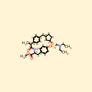 CCN(CC)CSOc1ccc(CC(NC(=O)C(C)c2ccc(CC3CCC(=O)C3)cc2)C(=O)OC)cc1